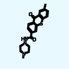 Cc1ccc2sc3cc(C(=O)NN4CCN(C)CC4)ccc3c(=O)c2c1